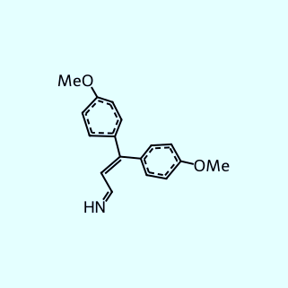 COc1ccc(C(=CC=N)c2ccc(OC)cc2)cc1